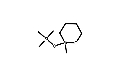 C[Si](C)(C)O[Si]1(C)CCCCO1